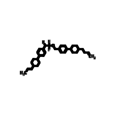 C=CCCC1CCC(c2ccc(COC(F)(F)C(F)c3ccc(C4CCC(C=CC)CC4)cc3)cc2)CC1